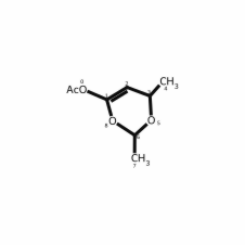 CC(=O)OC1=CC(C)OC(C)O1